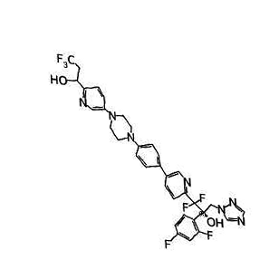 OC(CC(F)(F)F)c1ccc(N2CCN(c3ccc(-c4ccc(C(F)(F)[C@](O)(Cn5cncn5)c5ccc(F)cc5F)nc4)cc3)CC2)cn1